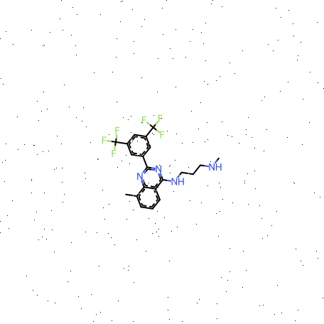 CNCCCNc1nc(-c2cc(C(F)(F)F)cc(C(F)(F)F)c2)nc2c(C)cccc12